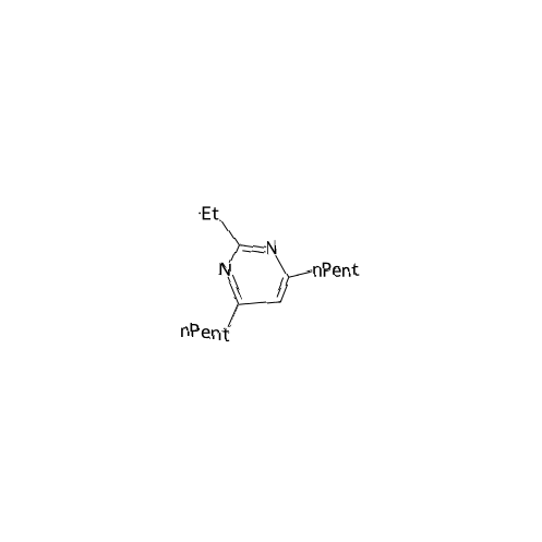 C[CH]c1nc(CCCCC)cc(CCCCC)n1